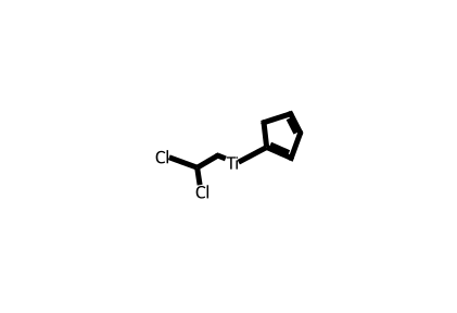 ClC(Cl)[CH2][Ti][C]1=CC=CC1